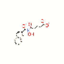 COC(=O)CCCC(=O)N(O)C(OC)c1ccc2ccccc2c1